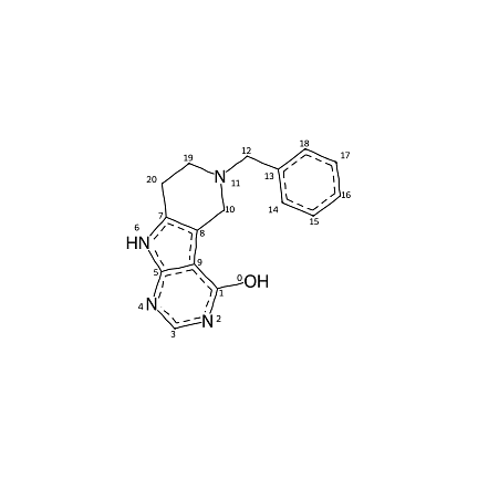 Oc1ncnc2[nH]c3c(c12)CN(Cc1ccccc1)CC3